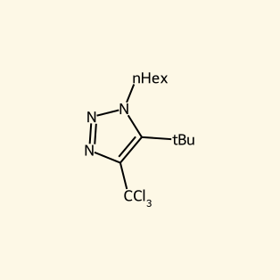 CCCCCCn1nnc(C(Cl)(Cl)Cl)c1C(C)(C)C